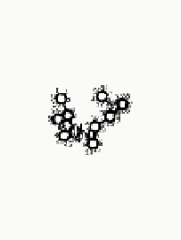 c1ccc(-c2ccc(-c3nc(-n4c5ccccc5c5cc(-c6ccc7c8ccccc8n(-c8ccccc8)c7c6)ccc54)nc4ccccc34)c3ccccc23)cc1